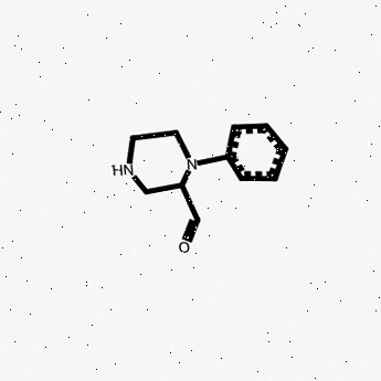 O=CC1CNCCN1c1ccccc1